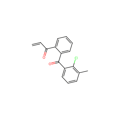 C=CC(=O)c1ccccc1C(=O)c1cccc(C)c1Cl